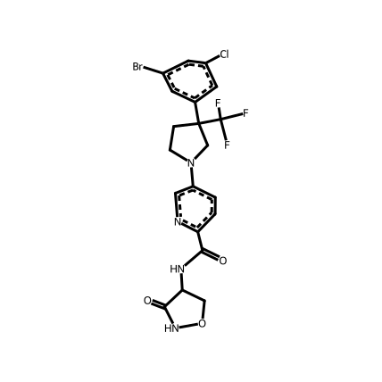 O=C(NC1CONC1=O)c1ccc(N2CCC(c3cc(Cl)cc(Br)c3)(C(F)(F)F)C2)cn1